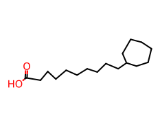 O=C(O)CCCCCCCCCC1CCCCCC1